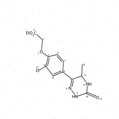 CCOC(=O)COc1ccc(C2=NNC(=O)NC2C)cc1Cl